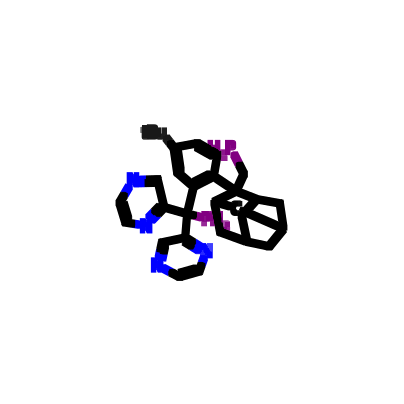 CC(C)(C)c1ccc(C2(CP)C3CC4CC(C3)CC2C4)c(C(P)(c2cnccn2)c2cnccn2)c1